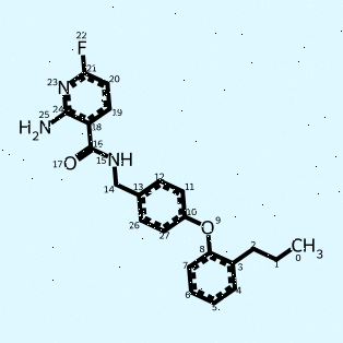 CCCc1ccccc1Oc1ccc(CNC(=O)c2ccc(F)nc2N)cc1